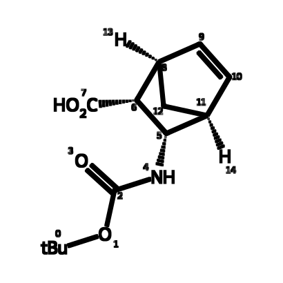 CC(C)(C)OC(=O)N[C@@H]1[C@H](C(=O)O)[C@H]2C=C[C@@H]1C2